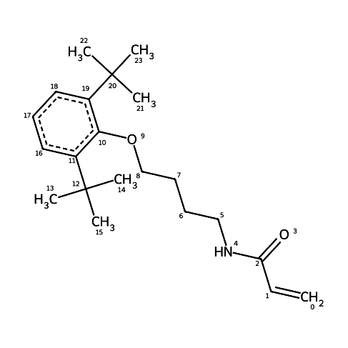 C=CC(=O)NCCCCOc1c(C(C)(C)C)cccc1C(C)(C)C